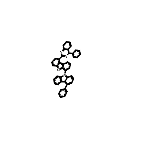 C1=CC2=NC(c3cccc4oc5c(N6c7ccccc7C7C(c8ccccc8)=CC=CC76)cccc5c34)=NC(c3ccccc3)C2C=C1